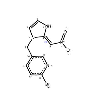 O=[N+]([O-])/C=C1\NC=CN1Cc1ccc(Br)nc1